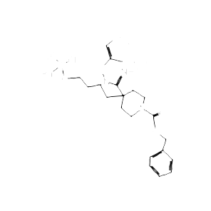 CCOC(=O)/C=C(/ONC(=N)C1(CCCCO[Si](C)(C)C(C)(C)C)CCN(C(=O)OCc2ccccc2)CC1)C(=O)OCC